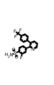 NS(=O)(=O)c1ccc(-c2ncccc2-c2ccc(C(F)(F)F)cc2)cc1F